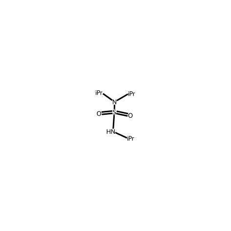 CC(C)NS(=O)(=O)N(C(C)C)C(C)C